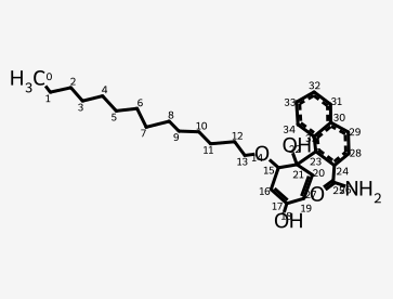 CCCCCCCCCCCCCCOC1C=C(O)C=CC1(O)c1c(C(N)=O)ccc2ccccc12